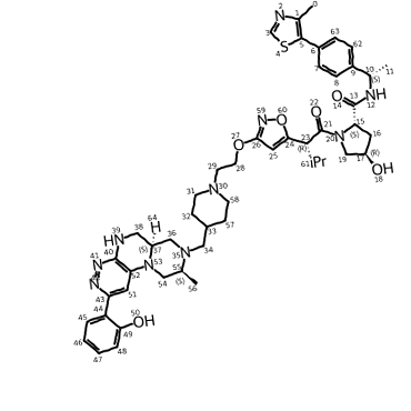 Cc1ncsc1-c1ccc([C@H](C)NC(=O)[C@@H]2C[C@@H](O)CN2C(=O)[C@@H](c2cc(OCCN3CCC(CN4C[C@@H]5CNc6nnc(-c7ccccc7O)cc6N5C[C@@H]4C)CC3)no2)C(C)C)cc1